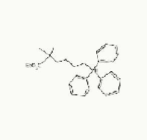 CCOC(=O)C(C)(C)CCCC[PH](c1ccccc1)(c1ccccc1)c1ccccc1